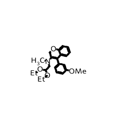 CCOC(CN(C)C1=C(c2cccc(OC)c2)c2ccccc2OC1)OCC